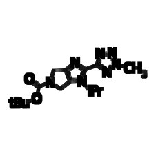 CC(C)n1c(-c2nnn(C)n2)nc2c1CN(C(=O)OC(C)(C)C)C2